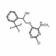 CNc1nc(Cl)ncc1OCC(O)c1ccccc1C(F)(F)F